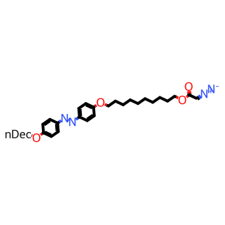 CCCCCCCCCCOc1ccc(N=Nc2ccc(OCCCCCCCCCCOC(=O)C=[N+]=[N-])cc2)cc1